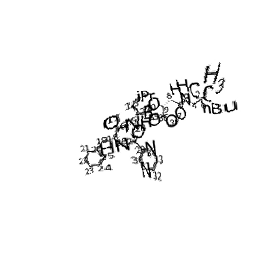 CCCCC(C)(C)CNC(=O)C[C@H]1OB([C@H](CC(C)C)NC(=O)[C@H](Cc2ccccc2)NC(=O)c2cnccn2)OC1=O